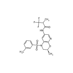 Cc1cccc(S(=O)(=O)N2C[C@H](C)Oc3ncc(NC(=O)C(C)C(F)(F)F)cc32)c1